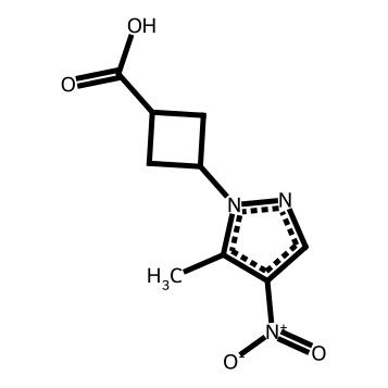 Cc1c([N+](=O)[O-])cnn1C1CC(C(=O)O)C1